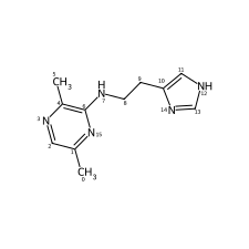 Cc1cnc(C)c(NCCc2c[nH]cn2)n1